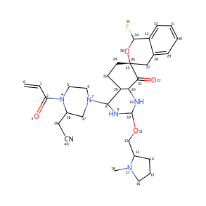 C=CC(=O)N1CCN(C2NC(OCC3CCCN3C)NC3C(=O)[C@@]4(CCC32)Cc2ccccc2C(F)O4)CC1CC#N